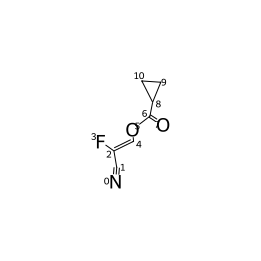 N#CC(F)=COC(=O)C1CC1